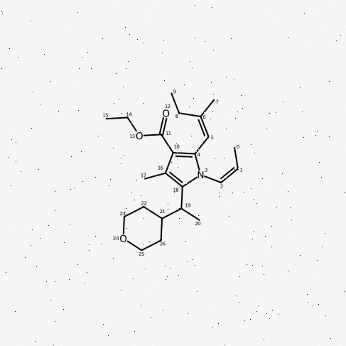 C/C=C\n1c(/C=C(/C)CC)c(C(=O)OCC)c(C)c1C(C)C1CCOCC1